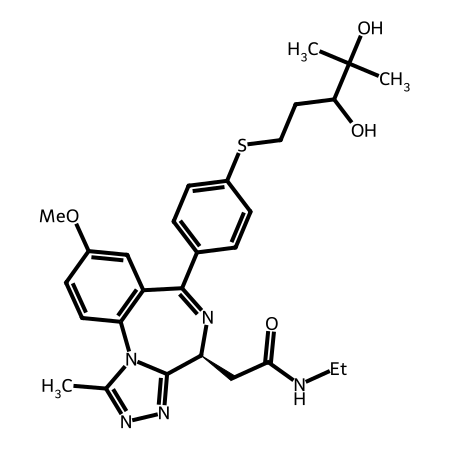 CCNC(=O)C[C@@H]1N=C(c2ccc(SCCC(O)C(C)(C)O)cc2)c2cc(OC)ccc2-n2c(C)nnc21